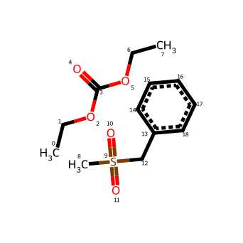 CCOC(=O)OCC.CS(=O)(=O)Cc1ccccc1